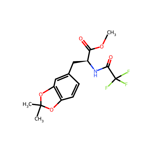 COC(=O)[C@H](Cc1ccc2c(c1)OC(C)(C)O2)NC(=O)C(F)(F)F